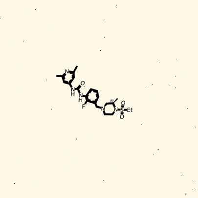 CCS(=O)(=O)N1CCN(Cc2cccc(NC(=O)Nc3cc(C)nc(C)c3)c2F)C[C@H]1C